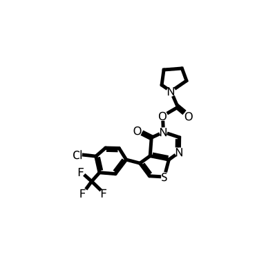 O=C(On1cnc2scc(-c3ccc(Cl)c(C(F)(F)F)c3)c2c1=O)N1CCCC1